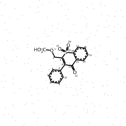 O=C(O)OCC1=C(c2ccccc2)C(=O)c2ccccc2S1(=O)=O